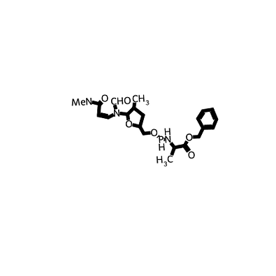 CNC(=O)/C=C\N(C=O)C1OC(COPNC(C)C(=O)OCc2ccccc2)CC1C